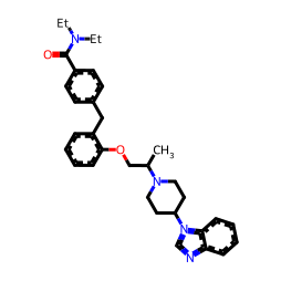 CCN(CC)C(=O)c1ccc(Cc2ccccc2OCC(C)N2CCC(n3cnc4ccccc43)CC2)cc1